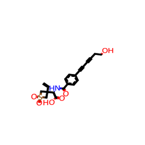 C=CC1([C@H](NC(=O)c2ccc(C#CC#CCCO)cc2)C(=O)O)CS(=O)(=O)C1